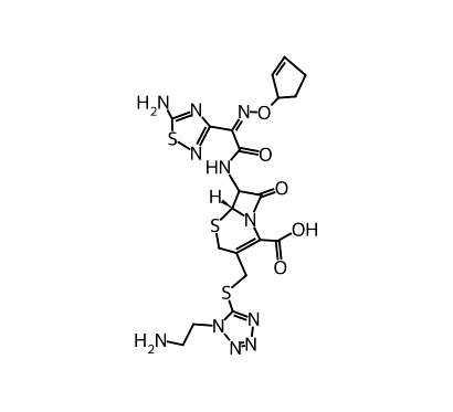 NCCn1nnnc1SCC1=C(C(=O)O)N2C(=O)C(NC(=O)/C(=N\OC3C=CCC3)c3nsc(N)n3)[C@H]2SC1